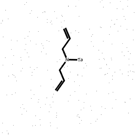 C=CC[N]([Ta])CC=C